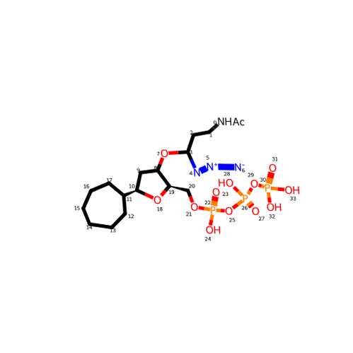 CC(=O)NCCC(N=[N+]=[N-])OC1C[C@H](C2CCCCCC2)O[C@@H]1COP(=O)(O)OP(=O)(O)OP(=O)(O)O